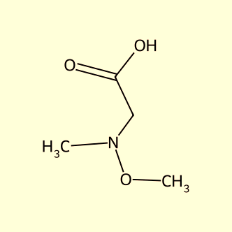 CON(C)CC(=O)O